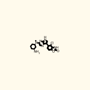 CN(c1cnc2c(-c3ccc4oc(=O)[nH]c4c3Cl)c[nH]c2n1)[C@@H]1CCC[C@@H](N)C1